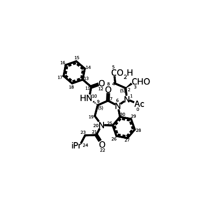 CC(=O)N([C@H](C=O)CC(=O)O)N1C(=O)[C@@H](NC(=O)c2ccccc2)CN(C(=O)CC(C)C)c2ccccc21